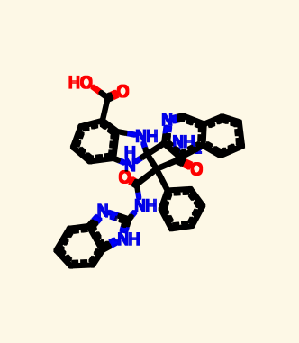 NC(=O)C(C(=O)Nc1nc2ccccc2[nH]1)(c1ccccc1)C1(c2cc3ccccc3cn2)Nc2cccc(C(=O)O)c2N1